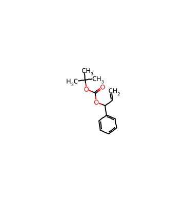 C=CC(OC(=O)OC(C)(C)C)c1ccccc1